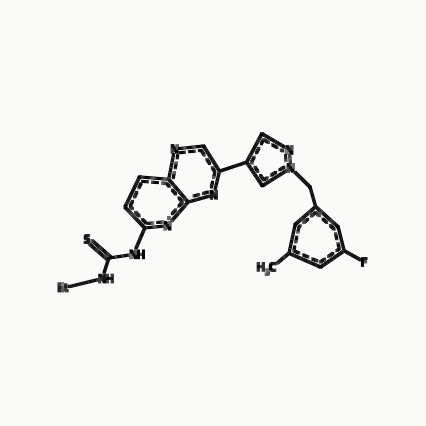 CCNC(=S)Nc1ccc2ncc(-c3cnn(Cc4cc(C)cc(F)c4)c3)nc2n1